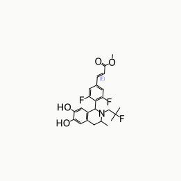 COC(=O)/C=C/c1cc(F)c(C2c3cc(O)c(O)cc3CC(C)N2CC(C)(C)F)c(F)c1